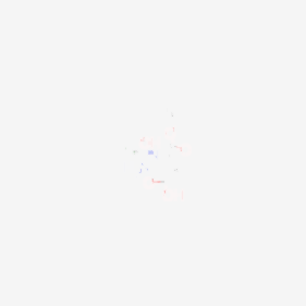 CCOC(=O)C(CC(=O)O)N(N)O.Cl